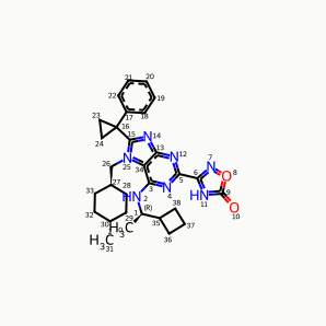 C[C@@H](Nc1nc(-c2noc(=O)[nH]2)nc2nc(C3(c4ccccc4)CC3)n(C[C@H]3CC[C@H](C)CC3)c12)C1CCC1